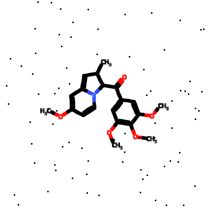 COC1=CC2=CC(C)C(C(=O)c3cc(OC)c(OC)c(OC)c3)N2C=C1